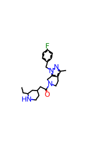 CCC1CC(CC(=O)N2CCc3c(C)nn(Cc4ccc(F)cc4)c3C2)CCN1